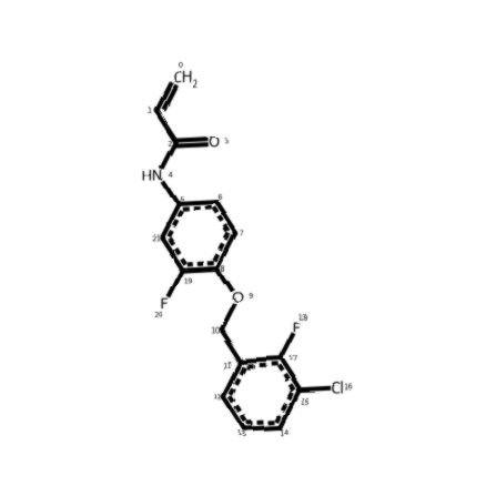 C=CC(=O)Nc1ccc(OCc2cccc(Cl)c2F)c(F)c1